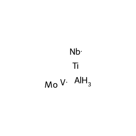 [AlH3].[Mo].[Nb].[Ti].[V]